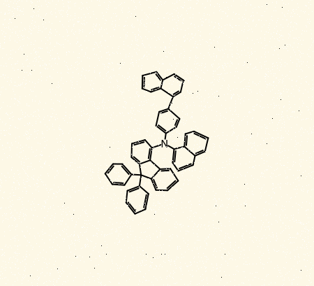 c1ccc(C2(c3ccccc3)c3ccccc3-c3c(N(c4ccc(-c5cccc6ccccc56)cc4)c4cccc5ccccc45)cccc32)cc1